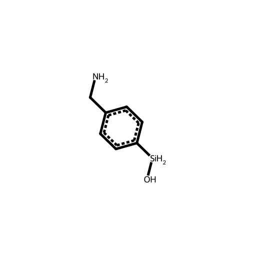 NCc1ccc([SiH2]O)cc1